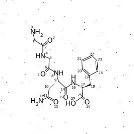 NCC(=O)NCC(=O)N[C@@H](CC(N)=O)C(=O)N[C@@H](Cc1ccccc1)C(=O)O